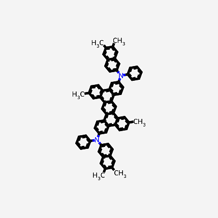 Cc1ccc2c(c1)c1cc3c4ccc(N(c5ccccc5)c5ccc6cc(C)c(C)cc6c5)cc4c4ccc(C)cc4c3cc1c1ccc(N(c3ccccc3)c3ccc4cc(C)c(C)cc4c3)cc21